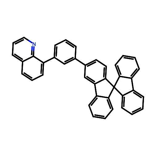 c1cc(-c2ccc3c(c2)-c2ccccc2C32c3ccccc3-c3ccccc32)cc(-c2cccc3cccnc23)c1